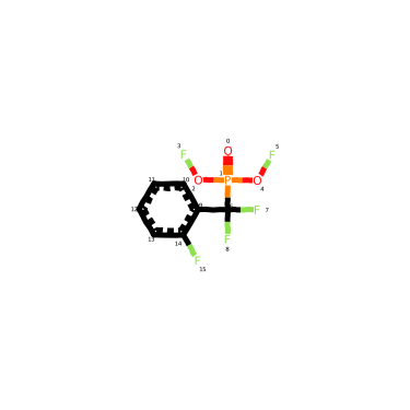 O=P(OF)(OF)C(F)(F)c1ccccc1F